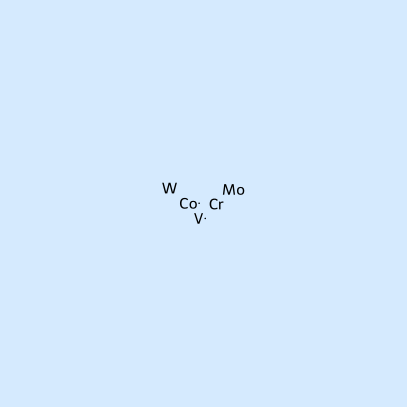 [Co].[Cr].[Mo].[V].[W]